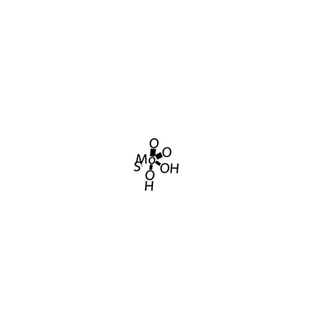 [O]=[Mo](=[O])([OH])([OH])=[S]